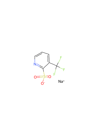 O=S(=O)([O-])c1ncccc1C(F)(F)F.[Na+]